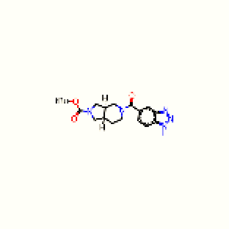 CC(C)(C)OC(=O)N1C[C@H]2CCN(C(=O)c3ccc4[nH]nnc4c3)C[C@@H]2C1